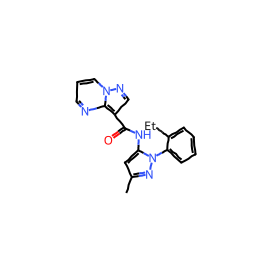 CCc1ccccc1-n1nc(C)cc1NC(=O)c1cnn2cccnc12